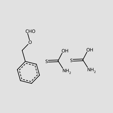 NC(O)=S.NC(O)=S.O=COCc1ccccc1